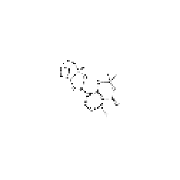 CC1(C)OC(=O)c2c(F)ccc(B3OC4CC5CC(C5(C)C)[C@]4(C)O3)c2O1